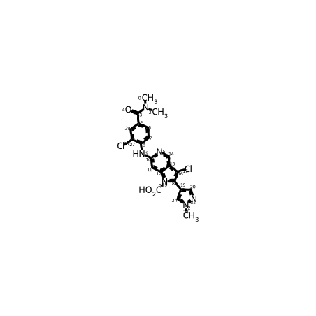 CN(C)C(=O)c1ccc(Nc2cc3c(cn2)c(Cl)c(-c2cnn(C)c2)n3C(=O)O)c(Cl)c1